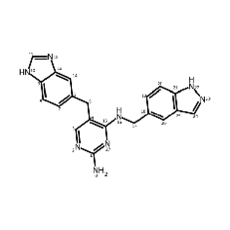 Nc1ncc(Cc2ccc3[nH]cnc3c2)c(NCc2ccc3[nH]ncc3c2)n1